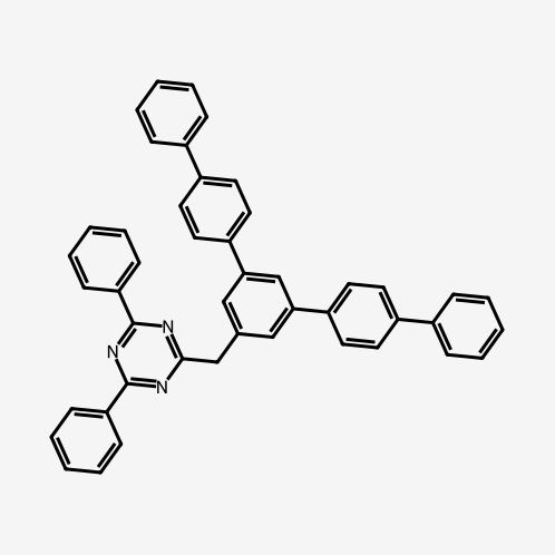 c1ccc(-c2ccc(-c3cc(Cc4nc(-c5ccccc5)nc(-c5ccccc5)n4)cc(-c4ccc(-c5ccccc5)cc4)c3)cc2)cc1